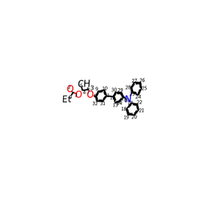 CCC(=O)OC(C)COc1ccc(-c2ccc(N(c3ccccc3)c3ccccc3)cc2)cc1